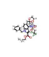 CCOC(=O)c1cc2c(NS(=O)(=O)CC(F)(F)F)c(CC3(C)OCCO3)ccc2n1Cc1ccccc1